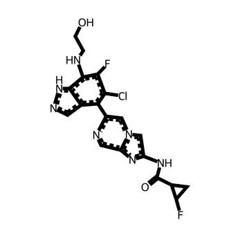 O=C(Nc1cn2cc(-c3c(Cl)c(F)c(NCCO)c4[nH]ncc34)ncc2n1)C1CC1F